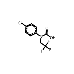 O=C(O)N(CC(F)(F)F)c1ccc(Cl)cc1